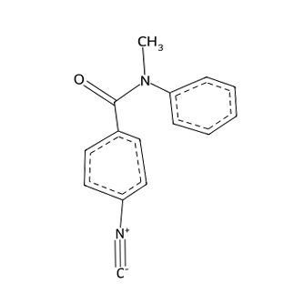 [C-]#[N+]c1ccc(C(=O)N(C)c2ccccc2)cc1